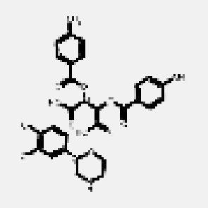 Cc1ccc(C(=O)OC(C(=O)O)[C@@H](OC(=O)c2ccc(C)cc2)C(=O)O)cc1.Clc1ccc([C@@H]2CNCCO2)cc1Cl